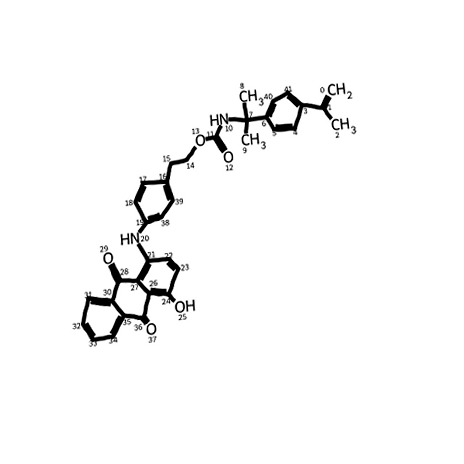 C=C(C)c1ccc(C(C)(C)NC(=O)OCCc2ccc(Nc3ccc(O)c4c3C(=O)c3ccccc3C4=O)cc2)cc1